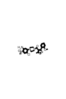 COc1ccccc1-c1noc(C)c1C(=O)N1CCN(c2cc(N)c([N+](=O)[O-])cc2Cl)CC1